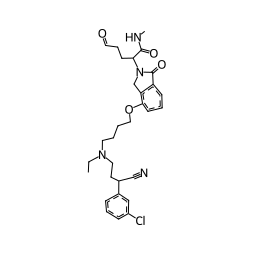 CCN(CCCCOc1cccc2c1CN(C(CCC=O)C(=O)NC)C2=O)CCC(C#N)c1cccc(Cl)c1